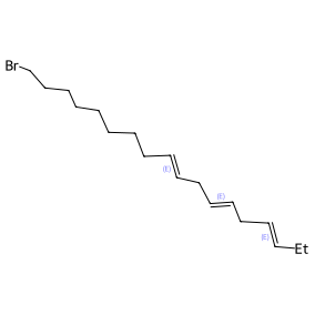 CC/C=C/C/C=C/C/C=C/CCCCCCCCBr